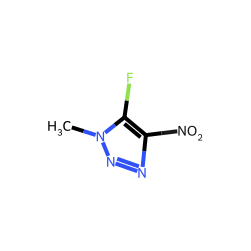 Cn1nnc([N+](=O)[O-])c1F